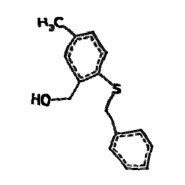 Cc1ccc(SCc2ccccc2)c(CO)c1